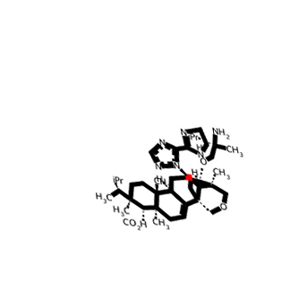 CC(C)[C@@H](C)[C@@]1(C)CC[C@]2(C)[C@H]3CC[C@@H]4[C@@]5(COC[C@]4(C)[C@@H](OC[C@](C)(N)C(C)C)[C@H](n4ncnc4C4=NCCN4)C5)C3=CC[C@@]2(C)[C@@H]1C(=O)O